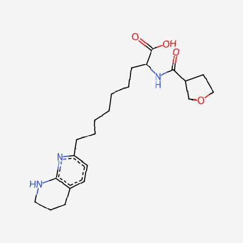 O=C(NC(CCCCCCCc1ccc2c(n1)NCCC2)C(=O)O)C1CCOC1